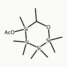 CC(=O)O[Si]1(C)C(C)O[Si](C)(C)[Si](C)(C)[Si]1(C)C